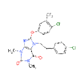 Cn1c(=O)c2c(nc(Oc3ccc(Cl)c(C(F)(F)F)c3)n2CCc2ccc(Cl)cc2)n(C)c1=O